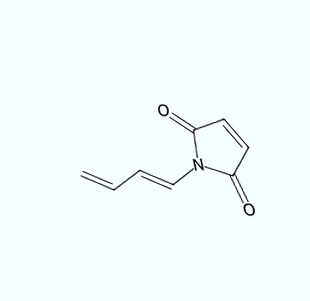 C=C/C=C/N1C(=O)C=CC1=O